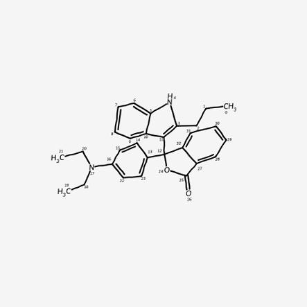 CCCc1[nH]c2ccccc2c1C1(c2ccc(N(CC)CC)cc2)OC(=O)c2ccccc21